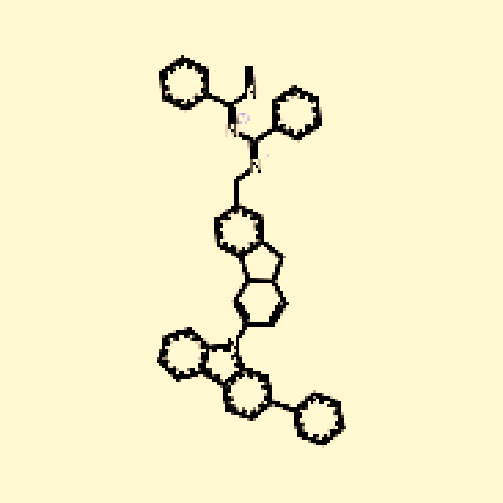 C=N/C(=N\C(=N/Cc1ccc2c(c1)CC1C=CC(n3c4ccccc4c4ccc(-c5ccccc5)cc43)=CC21)c1ccccc1)c1ccccc1